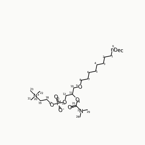 CCCCCCCCCCCCCCCCCCOCC(COP(=O)([O-])OCC[N+](C)(C)C)OC(=O)N(C)C